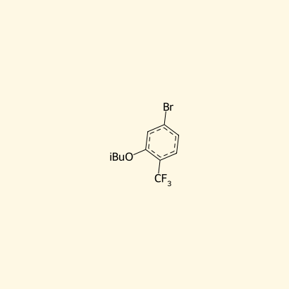 C[C](C)COc1cc(Br)ccc1C(F)(F)F